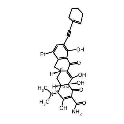 CCc1cc(C#CC2=CCCCC2)c(O)c2c1C[C@H]1C[C@H]3[C@H](N(C)C)C(O)=C(C(N)=O)C(=O)[C@@]3(O)C(O)=C1C2=O